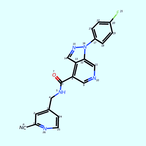 N#Cc1cc(CNC(=O)c2cncc3c2cnn3-c2ccc(F)cc2)ccn1